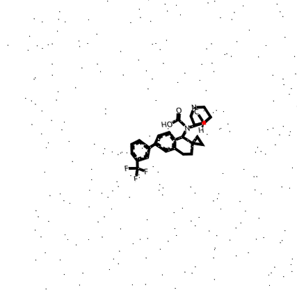 O=C(O)N(C1c2ccc(-c3cccc(C(F)(F)F)c3)cc2CCC12CC2)[C@@H]1CN2CCC1CC2